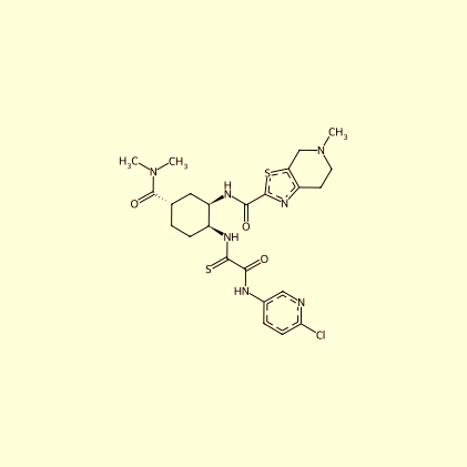 CN1CCc2nc(C(=O)N[C@@H]3C[C@@H](C(=O)N(C)C)CC[C@@H]3NC(=S)C(=O)Nc3ccc(Cl)nc3)sc2C1